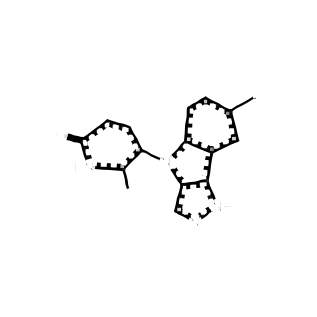 Cc1[nH]c(=O)ccc1-n1c2ccc(F)cc2c2[nH]ncc21